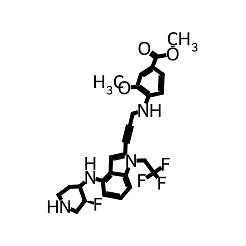 COC(=O)c1ccc(NCC#Cc2cc3c(NC4CCNC[C@@H]4F)cccc3n2CC(F)(F)F)c(OC)c1